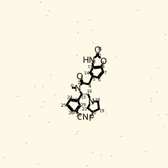 CN(C(=O)Cc1ccc2oc(=O)[nH]c2c1)[C@H](CN1CC[C@H](F)C1)c1cccc(C#N)c1